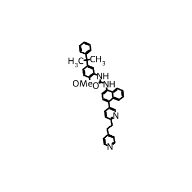 COc1ccc(C(C)(C)c2ccccc2)cc1NC(=O)Nc1ccc(-c2ccc(CCc3ccncc3)nc2)c2ccccc12